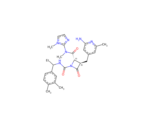 CCC(NC(=O)N1C(=O)[C@H](Cc2cc(C)nc(N)c2)[C@H]1C(=O)N(C)c1nccn1C)c1ccc(C)c(C)c1